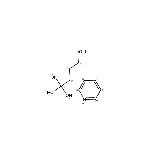 CCCCCCCCCCCC(O)(O)Br.c1ccncc1